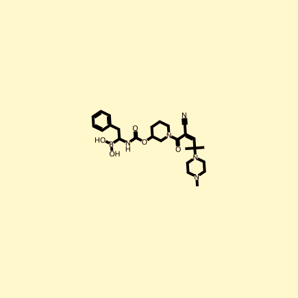 CN1CCN(C(C)(C)C=C(C#N)C(=O)N2CCCC(OC(=O)NC(Cc3ccccc3)B(O)O)C2)CC1